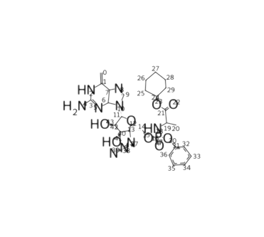 C=C1NC(N)=NC2C1N=CN2[C@@H]1O[C@@](COP(=O)(NC(C)C(=O)OC2CCCCC2)Oc2ccccc2)(N=[N+]=[N-])[C@@H](O)[C@H]1O